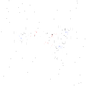 CCCC(COC(=O)CC1CC(CC(=O)OCC2CC(C)(C)NC2(C)C)CCC1CC(=O)OCC1CC(C)(C)NC1(C)C)C(C)(C)NCC